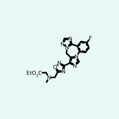 CCOC(=O)CN(C)Cc1nc(-c2ncn3c2Cn2ncnc2-c2cc(F)ccc2-3)no1